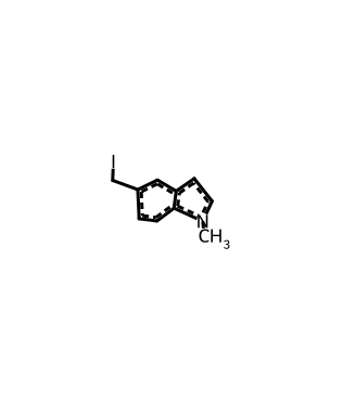 Cn1ccc2cc(CI)ccc21